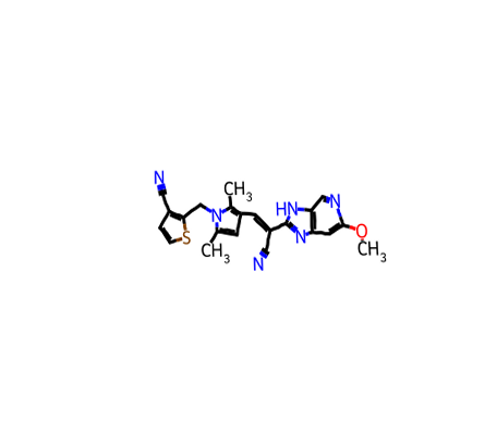 COc1cc2nc(/C(C#N)=C/c3cc(C)n(Cc4sccc4C#N)c3C)[nH]c2cn1